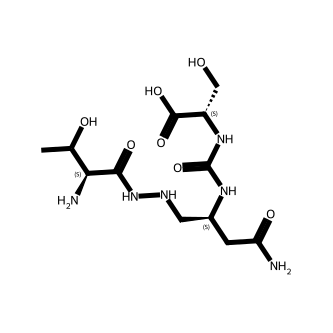 CC(O)[C@H](N)C(=O)NNC[C@H](CC(N)=O)NC(=O)N[C@@H](CO)C(=O)O